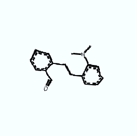 CN(C)c1ccccc1CCc1ccccc1C=O